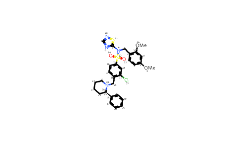 COc1ccc(CN(c2ncns2)S(=O)(=O)c2ccc(CN3CCCC[C@@H]3c3ccccc3)c(Cl)c2)c(OC)c1